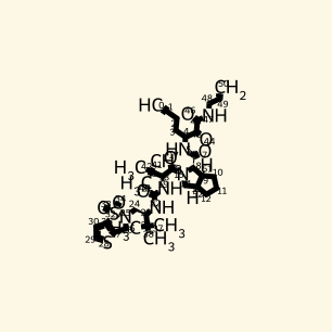 C#CCCC(NC(=O)[C@@H]1[C@H]2CCC[C@H]2CN1C(=O)[C@@H](NC(=O)N[C@H](CN1Cc2sccc2S1(=O)=O)C(C)(C)C)C(C)(C)C)C(=O)C(=O)NCC=C